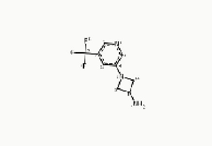 NC1CN(c2cncc(C(F)(F)F)c2)C1